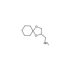 NCC1COC2(CCCCC2)O1